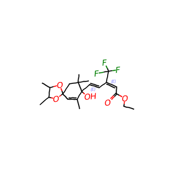 CCOC(=O)/C=C(\C=C\C1(O)C(C)=CC2(CC1(C)C)OC(C)C(C)O2)C(F)(F)F